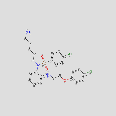 NCCCCCN(c1ccccc1NCCOc1ccc(Cl)cc1)S(=O)(=O)c1ccc(Cl)cc1